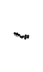 CC1(C)c2ccc(-c3ccc4c(c3)oc3c4ccc4c5ccccc5oc43)cc2-c2ccc(-c3c4ccccc4c(-c4cccc5ccccc45)c4ccccc34)cc21